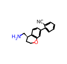 N#Cc1ccccc1-c1ccc2c(c1)OCC[C@H]2CN